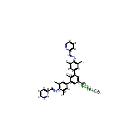 Cc1cc(-c2cc(C(C)C)cc(-c3cc(C)c(N=Cc4ccccn4)c(C)c3)c2C)cc(C)c1N=Cc1ccccn1.Cl.Cl.Cl.Cl.[Cu].[Cu]